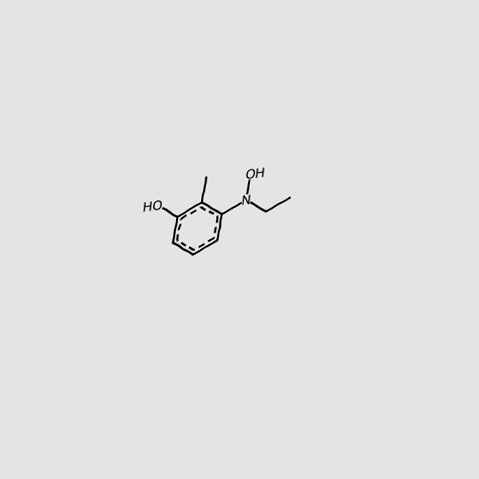 CCN(O)c1cccc(O)c1C